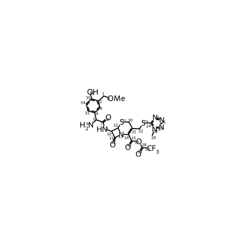 COCc1cc(C(N)C(=O)NC2C(=O)N3C(C(=O)OC(=O)C(F)(F)F)=C(CSc4nnnn4C)CSC23)ccc1O